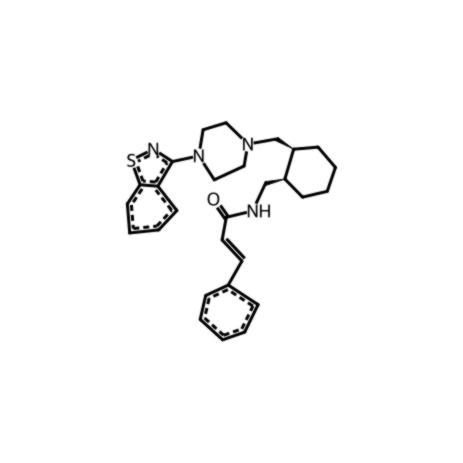 O=C(/C=C/c1ccccc1)NC[C@@H]1CCCC[C@@H]1CN1CCN(c2nsc3ccccc23)CC1